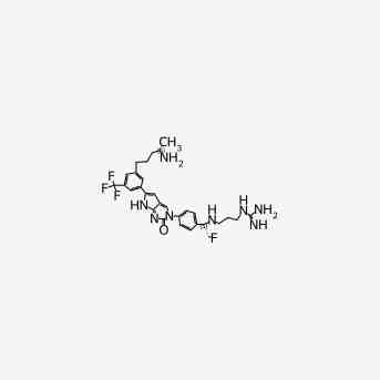 C[C@H](N)CCCc1cc(-c2cc3cn(-c4ccc([C@@H](CF)NCCCNC(=N)N)cc4)c(=O)nc3[nH]2)cc(C(F)(F)F)c1